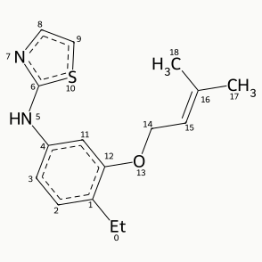 CCc1ccc(Nc2nccs2)cc1OCC=C(C)C